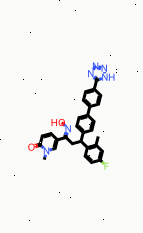 Cc1cc(F)ccc1C(CC(=NO)c1ccc(=O)n(C)c1)c1ccc(-c2ccc(-c3nnn[nH]3)cc2)cc1